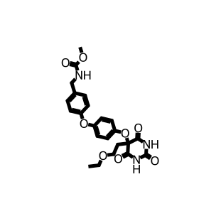 CCOCCC1(Oc2ccc(Oc3ccc(CNC(=O)OC)cc3)cc2)C(=O)NC(=O)NC1=O